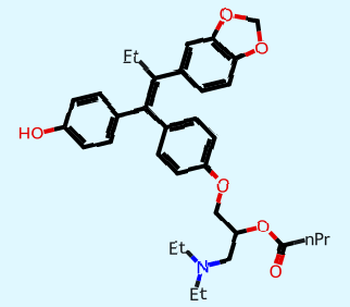 CCCC(=O)OC(COc1ccc(/C(=C(/CC)c2ccc3c(c2)OCO3)c2ccc(O)cc2)cc1)CN(CC)CC